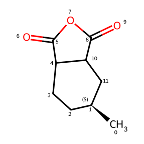 C[C@H]1CCC2C(=O)OC(=O)C2C1